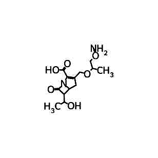 CC(CON)OCC1=C(C(=O)O)N2C(=O)C(C(C)O)C2C1